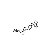 COC(=O)c1cccc(CN2CCC(Oc3cc(C)nc4ccccc34)CC2)c1